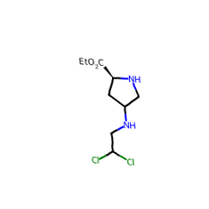 CCOC(=O)[C@@H]1CC(NCC(Cl)Cl)CN1